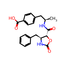 C[C@H](Cc1ccc(C(=O)O)cc1)NC(=O)[C@@H]1OC(=O)N[C@H]1Cc1ccccc1